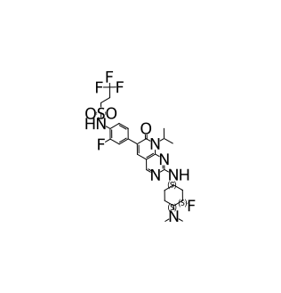 CC(C)n1c(=O)c(-c2ccc(NS(=O)(=O)CCC(F)(F)F)c(F)c2)cc2cnc(N[C@H]3CC[C@H](N(C)C)[C@@H](F)C3)nc21